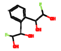 OC(F)C(O)c1c[c]ccc1C(O)C(O)F